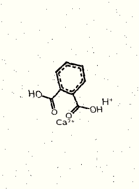 O=C(O)c1ccccc1C(=O)O.[Ca+2].[H+]